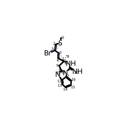 CS/C=C(Br)\C=C\[C@]1(C)Cc2nc3ccccc3n2C(=N)N1